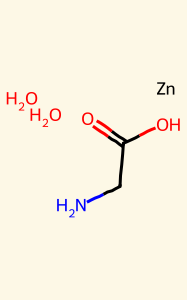 NCC(=O)O.O.O.[Zn]